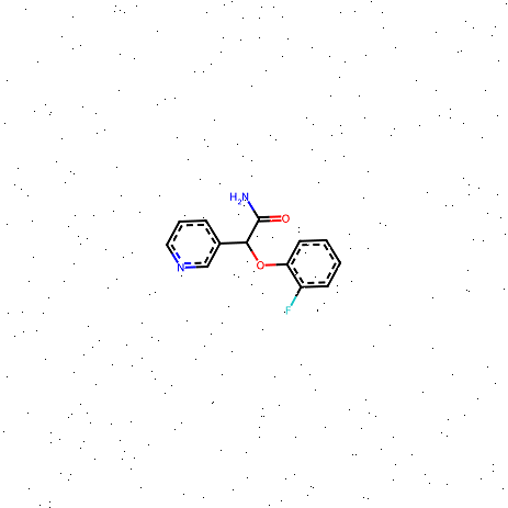 NC(=O)C(Oc1ccccc1F)c1cccnc1